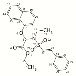 CCOC(=O)C(Oc1cccc2ccccc12)N(CC)S(=O)(=O)C=Cc1ccccc1